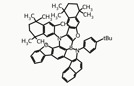 Cc1cc2c(cc1N1c3c(oc4cc5c(cc34)C(C)(C)CCC5(C)C)B3c4c(cc5c(oc6ccccc65)c41)-c1c(ccc4ccccc14)N3c1ccc(C(C)(C)C)cc1)C(C)(C)CCC2(C)C